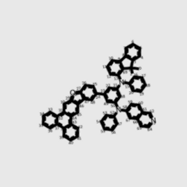 CC1(C)c2ccccc2-c2cccc(N(c3ccccc3)c3cc(-c4ccc5oc6cc7c8ccccc8c8ccccc8c7cc6c5c4)cc(N(c4ccccc4)c4ccc5cnccc5c4)c3)c21